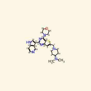 CN(C)C1CCN(Cc2cc3nc(-c4c[nH]c5ccncc45)nc(N4CCOCC4)c3s2)CC1